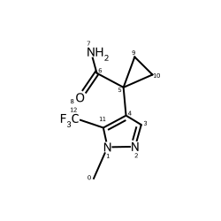 Cn1ncc(C2(C(N)=O)CC2)c1C(F)(F)F